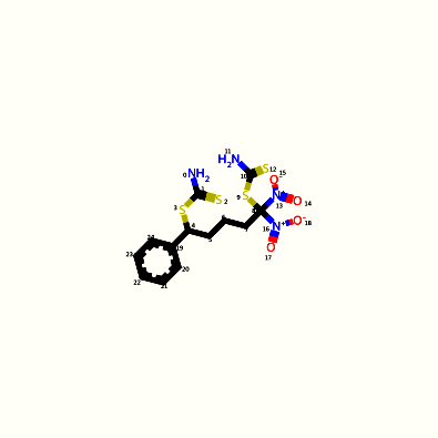 NC(=S)SC(CCCC(SC(N)=S)([N+](=O)[O-])[N+](=O)[O-])c1ccccc1